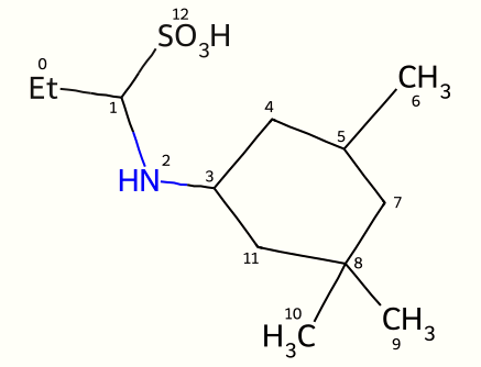 CCC(NC1CC(C)CC(C)(C)C1)S(=O)(=O)O